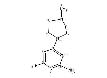 CN1CCN(c2cc(I)nc(N)n2)CC1